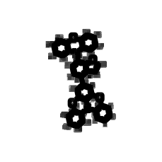 c1ccc2c(c1)Oc1cc(-c3ccc(N4c5ccccc5Oc5ccccc54)c4occc34)cc3c1B2c1ccccc1O3